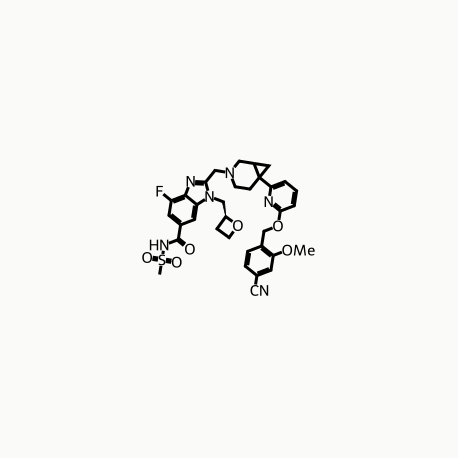 COc1cc(C#N)ccc1COc1cccc(C23CCN(Cc4nc5c(F)cc(C(=O)NS(C)(=O)=O)cc5n4C[C@@H]4CCO4)CC2C3)n1